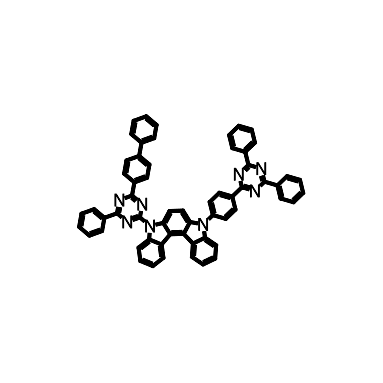 c1ccc(-c2ccc(-c3nc(-c4ccccc4)nc(-n4c5ccccc5c5c6c7ccccc7n(-c7ccc(-c8nc(-c9ccccc9)nc(-c9ccccc9)n8)cc7)c6ccc54)n3)cc2)cc1